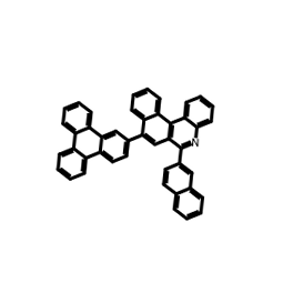 c1ccc2cc(-c3nc4ccccc4c4c3cc(-c3ccc5c6ccccc6c6ccccc6c5c3)c3ccccc34)ccc2c1